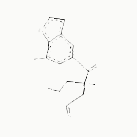 CC(C)(C)CC[C@@](C)(CC=N)C(=O)c1cc(F)c2[nH]ccc2c1